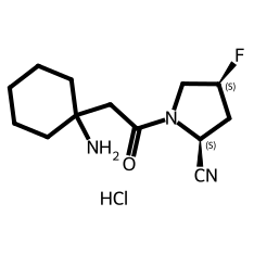 Cl.N#C[C@@H]1C[C@H](F)CN1C(=O)CC1(N)CCCCC1